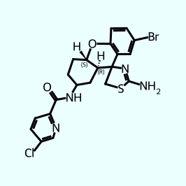 NC1=NC2(CS1)c1cc(Br)ccc1O[C@H]1CCC(NC(=O)c3ccc(Cl)cn3)C[C@@H]12